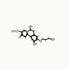 CCOC(=O)c1cn2c(cc1=O)-c1cc(O)c(OCCCN=O)cc1CC2C(C)C